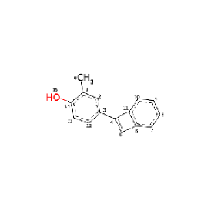 Cc1cc(C2=Cc3ccccc32)ccc1O